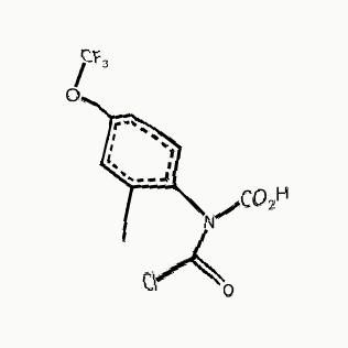 Cc1cc(OC(F)(F)F)ccc1N(C(=O)O)C(=O)Cl